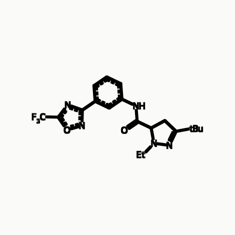 CCN1N=C(C(C)(C)C)CC1C(=O)Nc1cccc(-c2noc(C(F)(F)F)n2)c1